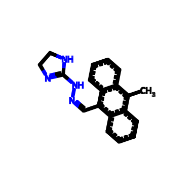 Cc1c2ccccc2c(/C=N\NC2=NCCN2)c2ccccc12